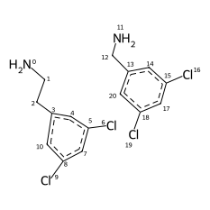 NCCc1cc(Cl)cc(Cl)c1.NCc1cc(Cl)cc(Cl)c1